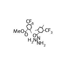 COC(=O)c1cc(C(F)(F)F)c(C)cc1C.Cc1cc(C)c(C(F)(F)F)cc1C(=O)N=C(N)N